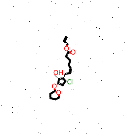 C=CCOC(=O)CCC/C=C\C[C@@H]1[C@@H](CO)[C@H](OC2CCCCO2)C[C@H]1Cl